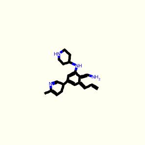 C=C/C=c1/cc(C2C=NC(C)=CC2)cc(NC2CCNCC2)/c1=C/N